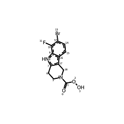 O=C(OO)N1CCc2[nH]c3c(F)c(Br)ccc3c2C1